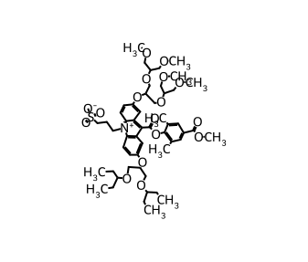 CCC(CC)OCC(COC(CC)CC)Oc1ccc2c(c1)c(C(=O)Oc1c(C)cc(C(=O)OC)cc1C)c1cc(OC(COC(COC)COC)COC(COC)COC)ccc1[n+]2CCCS(=O)(=O)[O-]